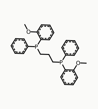 COc1ccccc1P(CCCP(c1ccccc1)c1ccccc1OC)c1ccccc1